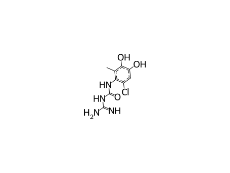 Cc1c(O)c(O)cc(Cl)c1NC(=O)NC(=N)N